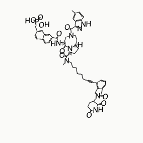 Cc1ccc2[nH]nc(C(=O)N3CC[C@H]4CC[C@@H](C(=O)N(C)CCCCCCC#Cc5cccc6c5CN(C5CCC(=O)NC5=O)C6=O)N4C(=O)[C@@H](NC(=O)c4ccc5ccc(CP(=O)(O)O)cc5c4)C3)c2c1